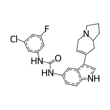 O=C(Nc1cc(F)cc(Cl)c1)Nc1ccc2[nH]cc(C3=CCN4CCCC4C3)c2c1